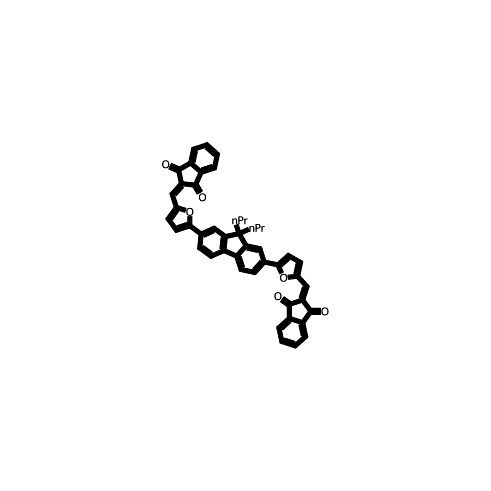 CCCC1(CCC)c2cc(-c3ccc(C=C4C(=O)c5ccccc5C4=O)o3)ccc2-c2ccc(-c3ccc(C=C4C(=O)c5ccccc5C4=O)o3)cc21